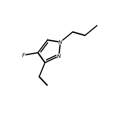 CCCn1[c]c(F)c(CC)n1